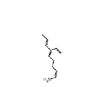 C=CC(/C=C/C)=C\CC/C=C\N